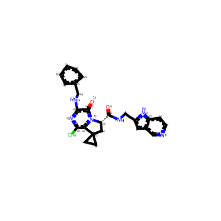 O=C(NCc1cc2cnccc2[nH]1)[C@@H]1CC2(CC2)c2c(Cl)nc(NCc3ccccc3)c(=O)n21